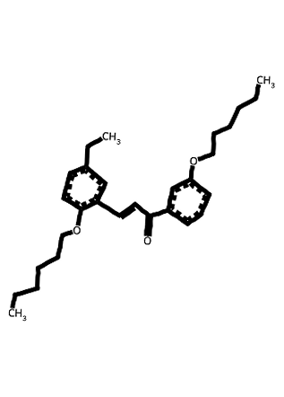 CCCCCCOc1cccc(C(=O)C=Cc2cc(CC)ccc2OCCCCCC)c1